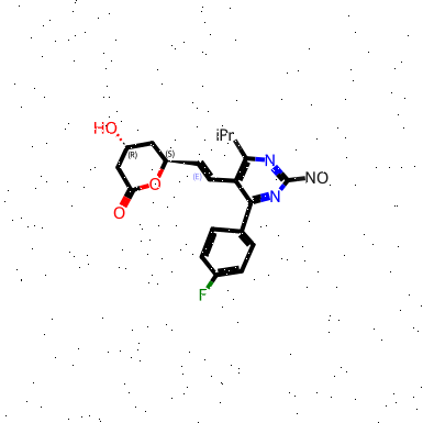 CC(C)c1nc(N=O)nc(-c2ccc(F)cc2)c1/C=C/[C@@H]1C[C@@H](O)CC(=O)O1